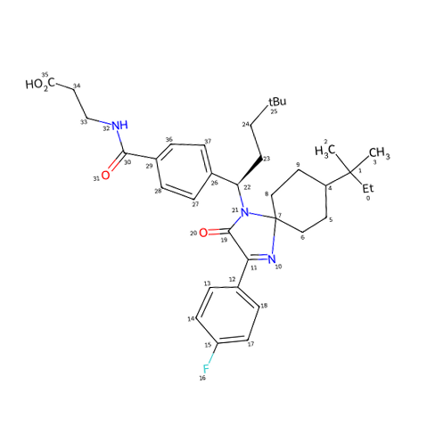 CCC(C)(C)C1CCC2(CC1)N=C(c1ccc(F)cc1)C(=O)N2[C@H](CCC(C)(C)C)c1ccc(C(=O)NCCC(=O)O)cc1